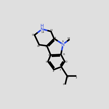 CC(C)c1ccc2c3c(n(C)c2c1)CNCC3